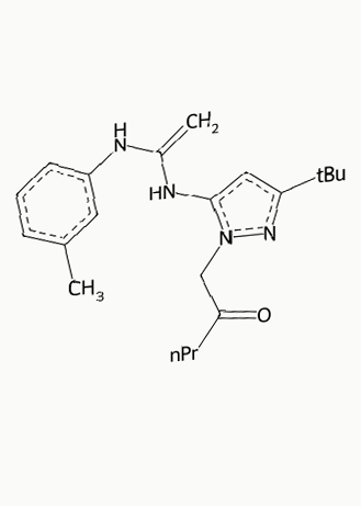 C=C(Nc1cccc(C)c1)Nc1cc(C(C)(C)C)nn1CC(=O)CCC